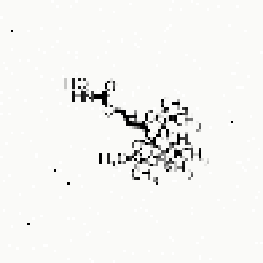 C[Si](C)(C)O[Si](CCCOC(=O)NO)(O[Si](C)(C)C)O[Si](C)(C)C